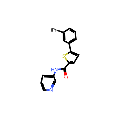 CC(C)c1cccc(-c2ccc(C(=O)Nc3cccnc3)s2)c1